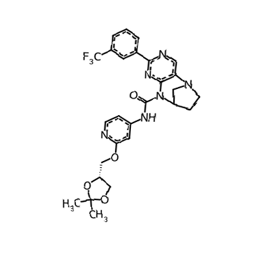 CC1(C)OC[C@@H](COc2cc(NC(=O)N3c4nc(-c5cccc(C(F)(F)F)c5)ncc4N4CCC3C4)ccn2)O1